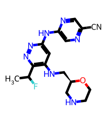 CC(F)c1nnc(Nc2cnc(C#N)cn2)cc1NC[C@@H]1CNCCO1